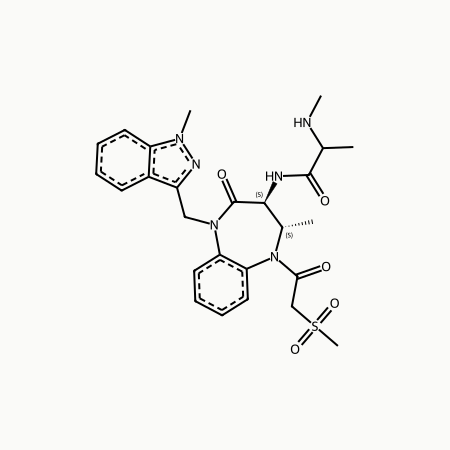 CNC(C)C(=O)N[C@@H]1C(=O)N(Cc2nn(C)c3ccccc23)c2ccccc2N(C(=O)CS(C)(=O)=O)[C@H]1C